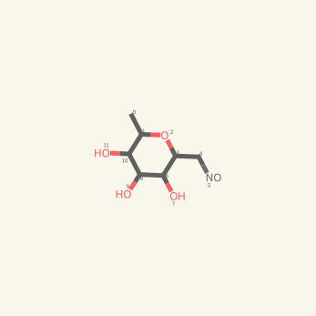 CC1OC(CN=O)C(O)C(O)C1O